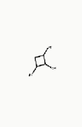 CC(C)C1CC(C(C)C)C1O